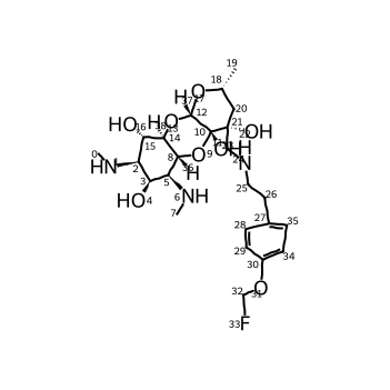 CN[C@@H]1[C@H](O)[C@H](NC)[C@H]2O[C@]3(O)[C@H](O[C@@H]2[C@H]1O)O[C@H](C)C[C@@]3(O)CNCCc1ccc(OCF)cc1